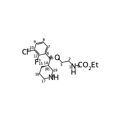 CCOC(=O)NCCO[C@@H](c1cccc(Cl)c1F)[C@@H]1CCCNC1